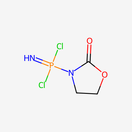 N=P(Cl)(Cl)N1CCOC1=O